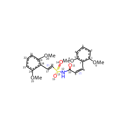 COc1cccc(OC)c1/C=C\C(=O)NS(=O)(=O)/C=C/c1c(OC)cccc1OC